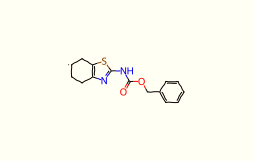 O=C(Nc1nc2c(s1)C[CH]CC2)OCc1ccccc1